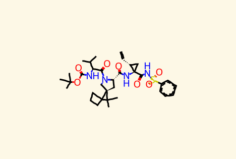 C=C[C@@H]1C[C@]1(NC(=O)[C@@H]1C[C@@]2(CN1C(=O)[C@@H](NC(=O)OC(C)(C)C)C(C)C)C(C)(C)C21CCC1)C(=O)NS(=O)(=O)c1ccccc1